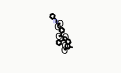 Cc1cc(=O)oc2c1ccc1oc(C(=O)c3cccc(OC(=O)/C=C/c4ccccc4)c3)c(-c3ccccc3)c12